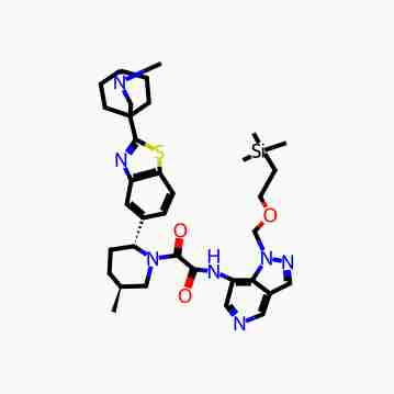 C[C@H]1CC[C@H](c2ccc3sc(C45CCC(CC4)N(C)C5)nc3c2)N(C(=O)C(=O)Nc2cncc3cnn(COCC[Si](C)(C)C)c23)C1